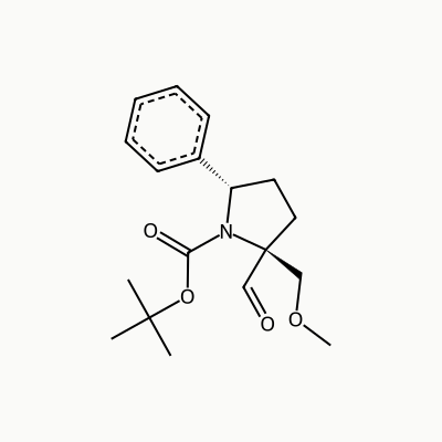 COC[C@]1(C=O)CC[C@@H](c2ccccc2)N1C(=O)OC(C)(C)C